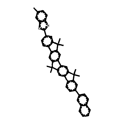 Cc1ccc2nc(-c3ccc4c(c3)C(C)(C)c3cc5c(cc3-4)C(C)(C)c3cc4c(cc3-5)C(C)(C)c3cc(-c5ccc6ccccc6c5)ccc3-4)oc2c1